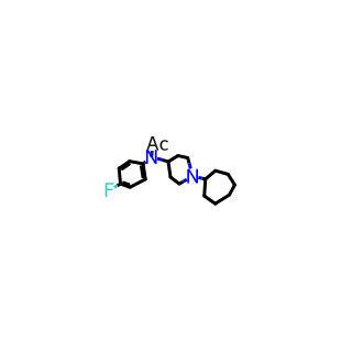 CC(=O)N(c1ccc(F)cc1)C1CCN(C2CCCCCC2)CC1